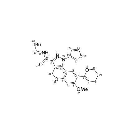 COc1cc2c(cc1C1=CCCCO1)-c1c(c(C(=O)NCC(C)(C)C)nn1-c1ccsc1)CO2